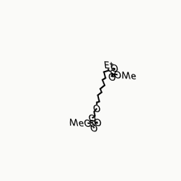 CCC(CCCCCCCCCOCCOS(=O)(=O)OC)S(=O)(=O)OC